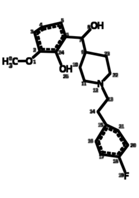 COc1cccc(C(O)C2CCN(CCc3ccc(F)cc3)CC2)c1O